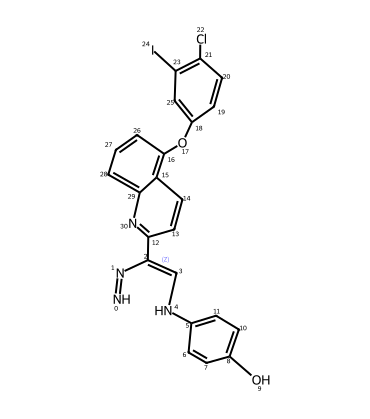 N=N/C(=C\Nc1ccc(O)cc1)c1ccc2c(Oc3ccc(Cl)c(I)c3)cccc2n1